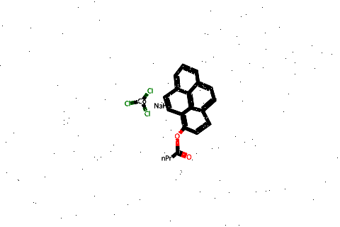 CCCC(=O)Oc1ccc2ccc3cccc4ccc1c2c34.[Cl][Co]([Cl])[Cl].[NaH]